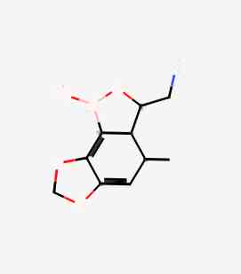 CC1C=C2OCOC2=C2B(O)OC(CN)C21